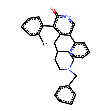 N#Cc1ccccc1-c1c(CC2CCN(Cc3ccccc3)CC2)c(-c2ccccn2)c[nH]c1=O